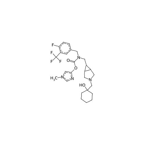 Cn1cnc(OC(=O)N(Cc2ccc(F)c(C(F)(F)F)c2)CC2C3CN(CC4(O)CCCCC4)CC32)c1